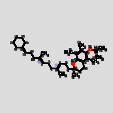 C/C(=C\CC/C(C)=C/CC[C@]1(C)CCc2c(C)c(O[SiH](C)C)c(C)c(C)c2O1)CCC=C1CCCCC1